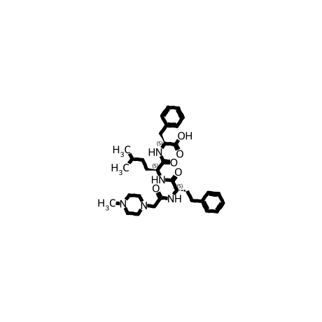 CC(C)CC[C@H](NC(=O)[C@H](CCc1ccccc1)NC(=O)CN1CCN(C)CC1)C(=O)N[C@@H](Cc1ccccc1)C(=O)O